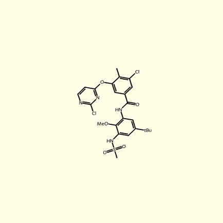 COc1c(NC(=O)c2cc(Cl)c(C)c(Oc3ccnc(Cl)n3)c2)cc(C(C)(C)C)cc1NS(C)(=O)=O